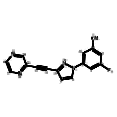 N#Cc1cc(F)cc(-n2ccc(C#Cc3cnccn3)n2)c1